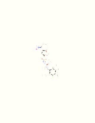 CC(C)c1c(F)c(Cl)c(F)c(C(C)C)c1NC(=O)NS(=O)(=O)c1cc2c(o1)CCC/C2=N/O